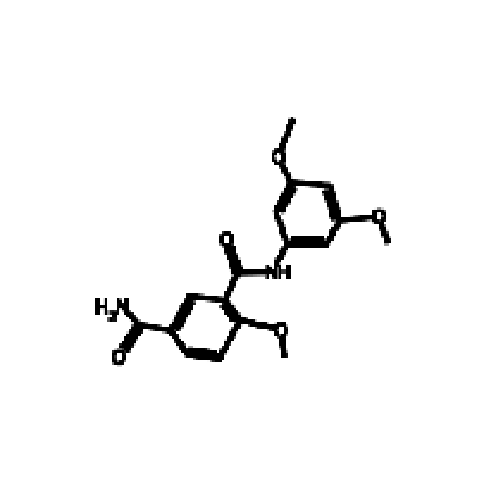 COc1cc(NC(=O)c2cc(C(N)=O)ccc2OC)cc(OC)c1